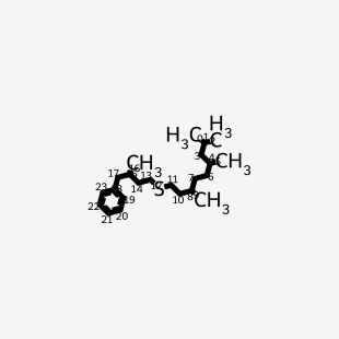 CC(C)CC(C)CCC(C)CCSCCC(C)Cc1ccccc1